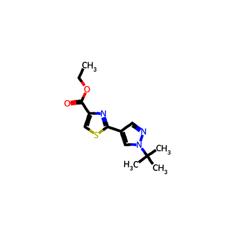 CCOC(=O)c1csc(-c2cnn(C(C)(C)C)c2)n1